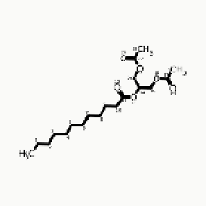 CCCCCCCCCCCC(=O)OC(COC(C)=O)COC(C)=O